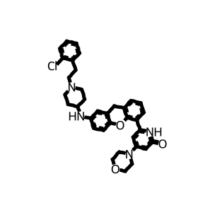 O=c1cc(N2CCOCC2)cc(-c2cccc3c2Oc2ccc(NC4CCN(CCc5ccccc5Cl)CC4)cc2C3)[nH]1